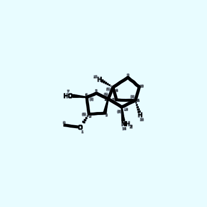 CO[C@H]1C[C@@]2(C[C@@H]1O)[C@H]1CC[C@H](C1)[C@H]2N